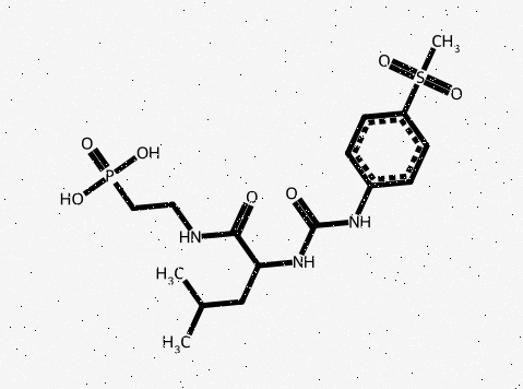 CC(C)CC(NC(=O)Nc1ccc(S(C)(=O)=O)cc1)C(=O)NCCP(=O)(O)O